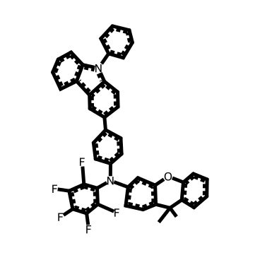 CC1(C)c2ccccc2Oc2cc(N(c3ccc(-c4ccc5c(c4)c4ccccc4n5-c4ccccc4)cc3)c3c(F)c(F)c(F)c(F)c3F)ccc21